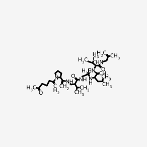 C=C(C)CNC(=O)C(NC(=C)C(CC(C)C)NC(=C)CNC(=O)C(CNC(=C)C1CCCN1C(=C)CCCC(C)=O)C(C)C)C(C)CC